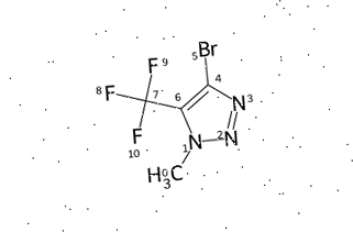 Cn1nnc(Br)c1C(F)(F)F